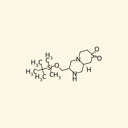 CC(C)(C)[Si](C)(C)OCC1CN2CCS(=O)(=O)C[C@H]2CN1